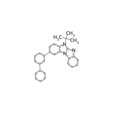 CC(C)(C)n1c2ccc(-c3cccc(-c4ccccc4)c3)cc2n2c3ccccc3nc12